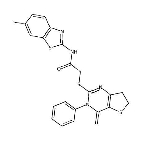 C=C1C2=C(CCS2)N=C(SCC(=O)Nc2nc3ccc(C)cc3s2)N1c1ccccc1